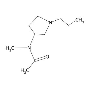 CCCN1CCC(N(C)C(C)=O)C1